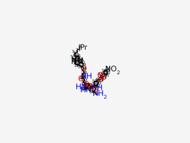 CC(C)CCC[C@@H](C)[C@H]1CC[C@H]2[C@@H]3CC=C4CC(OCCCNC(=O)CCC(=O)N[C@@H](C)C(=O)N[C@@H](CC(N)=O)C(=O)Nc5ccc(COC(=O)Oc6ccc([N+](=O)[O-])cc6)cc5)CC[C@]4(C)[C@H]3CC[C@]12C